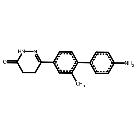 Cc1cc(C2=NNC(=O)CC2)ccc1-c1ccc(N)cc1